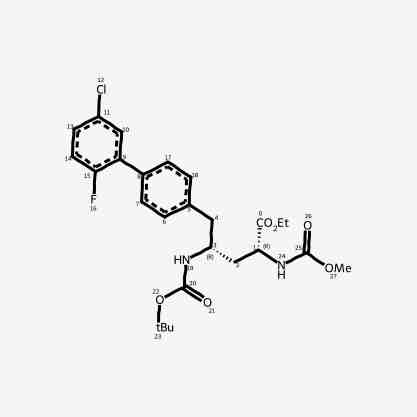 CCOC(=O)[C@@H](C[C@@H](Cc1ccc(-c2cc(Cl)ccc2F)cc1)NC(=O)OC(C)(C)C)NC(=O)OC